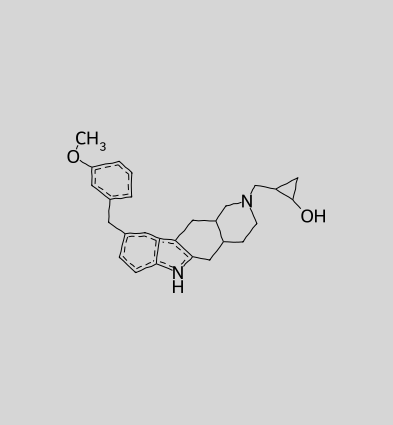 COc1cccc(Cc2ccc3[nH]c4c(c3c2)CC2CN(CC3CC3O)CCC2C4)c1